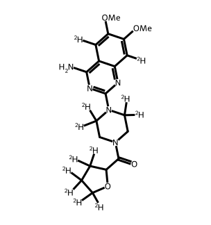 [2H]c1c(OC)c(OC)c([2H])c2c(N)nc(N3C([2H])([2H])CN(C(=O)C4OC([2H])([2H])C([2H])([2H])C4([2H])[2H])CC3([2H])[2H])nc12